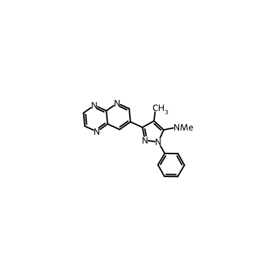 CNc1c(C)c(-c2cnc3nccnc3c2)nn1-c1ccccc1